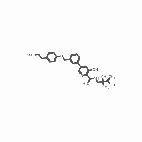 C=C(NCC(C)(C)C(=C)O)c1ncc(-c2cccc(COc3ccc(CCOC)cc3)c2)cc1O